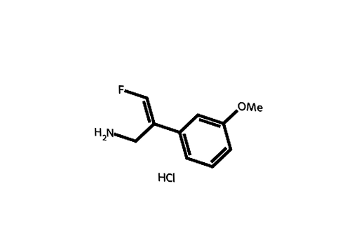 COc1cccc(C(=CF)CN)c1.Cl